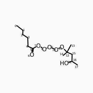 CCCCCC(=O)OOOOOC(C)(C)CC(C)O